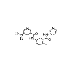 CCN(CC)c1cncc(C(=O)Nc2ccc(C)c(C(=O)Nc3cccnc3)c2)c1